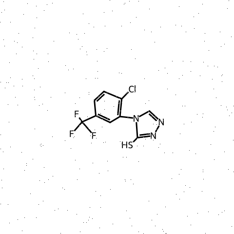 FC(F)(F)c1ccc(Cl)c(-n2cnnc2S)c1